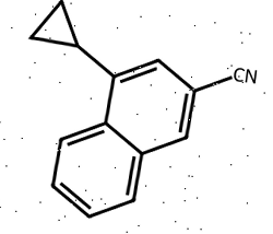 N#Cc1cc(C2CC2)c2ccccc2c1